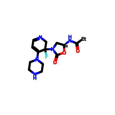 CCC(=O)N[C@@H]1CN(C2(F)CN=CC=C2N2CCNCC2)C(=O)O1